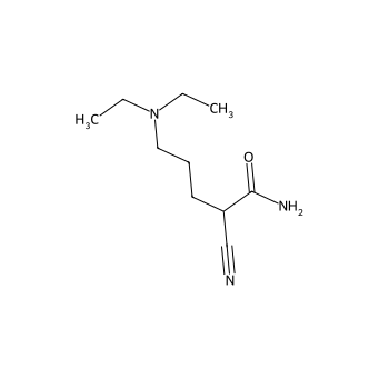 CCN(CC)CCCC(C#N)C(N)=O